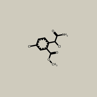 COC(=O)c1cc(Cl)ccc1C(Cl)C(N)=O